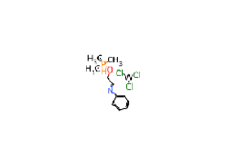 C[PH](C)(C)OCC=Nc1ccccc1.[Cl][W]([Cl])[Cl]